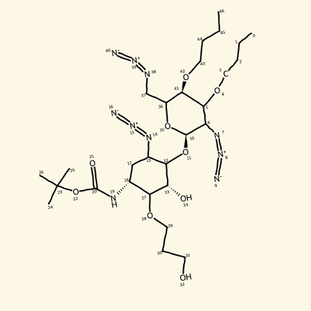 CCCCOC1C(N=[N+]=[N-])[C@@H](OC2C(N=[N+]=[N-])C[C@@H](NC(=O)OC(C)(C)C)C(OCCCO)[C@H]2O)OC(CN=[N+]=[N-])[C@H]1OCCCC